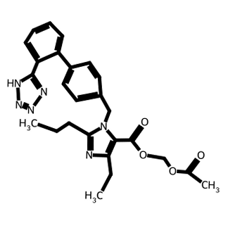 CCCc1nc(CC)c(C(=O)OCOC(C)=O)n1Cc1ccc(-c2ccccc2-c2nnn[nH]2)cc1